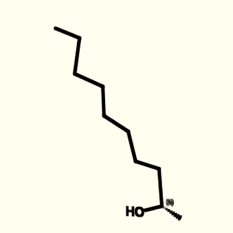 CCCCCCCC[C@H](C)O